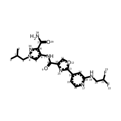 CC(C)Cn1cc(NC(=O)c2coc(-c3ccnc(NCC(F)F)c3)n2)c(C(N)=O)n1